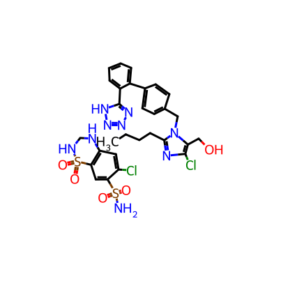 CCCCc1nc(Cl)c(CO)n1Cc1ccc(-c2ccccc2-c2nnn[nH]2)cc1.NS(=O)(=O)c1cc2c(cc1Cl)NCNS2(=O)=O